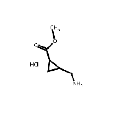 COC(=O)C1CC1CN.Cl